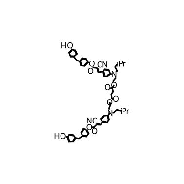 CC(C)CCN(CCOC(=O)CCC(=O)OCCN(CCC(C)C)c1ccc(/C=C(\C#N)C(=O)Oc2ccc(Cc3ccc(O)cc3)cc2)cc1)c1ccc(/C=C(\C#N)C(=O)Oc2ccc(Cc3ccc(O)cc3)cc2)cc1